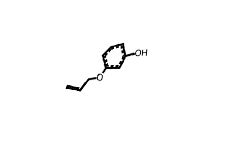 C=CCOc1cccc(O)c1